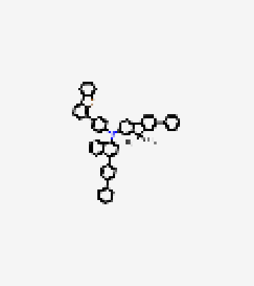 CC1(C)c2cc(-c3ccccc3)ccc2-c2ccc(N(c3ccc(-c4cccc5c4sc4ccccc45)cc3)c3ccc(-c4ccc(-c5ccccc5)cc4)c4ccccc34)cc21